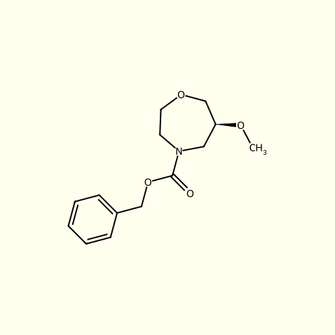 CO[C@@H]1COCCN(C(=O)OCc2ccccc2)C1